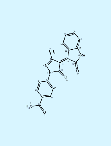 CC(=O)c1ccc(N2N=C(C)C(=C3C(=O)Nc4ccccc43)C2=O)cc1